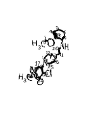 CCOc1ccccc1NCCN1CCN(c2cnn(C)c(=O)c2Cl)CC1